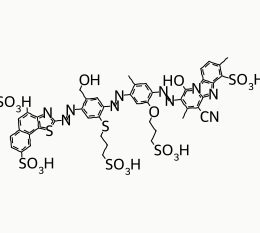 Cc1cc(N=Nc2c(C)c(C#N)c3nc4c(S(=O)(=O)O)c(C)ccc4n3c2O)c(OCCCS(=O)(=O)O)cc1N=Nc1cc(CO)c(N=Nc2nc3c(S(=O)(=O)O)cc4ccc(S(=O)(=O)O)cc4c3s2)cc1SCCCS(=O)(=O)O